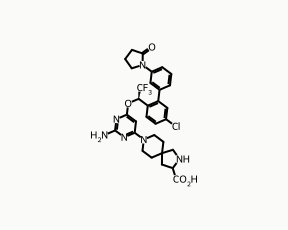 Nc1nc(O[C@H](c2ccc(Cl)cc2-c2cccc(N3CCCC3=O)c2)C(F)(F)F)cc(N2CCC3(CC2)CNC(C(=O)O)C3)n1